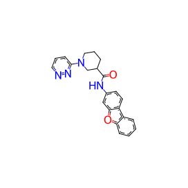 O=C(Nc1ccc2c(c1)oc1ccccc12)C1CCCN(c2cccnn2)C1